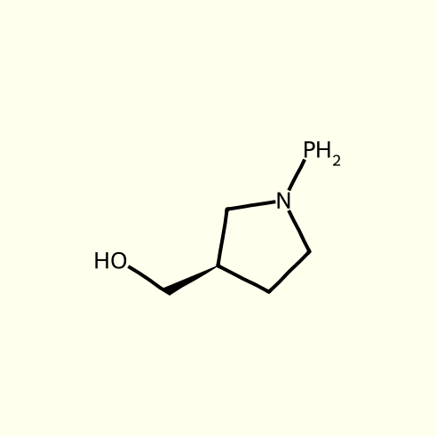 OC[C@@H]1CCN(P)C1